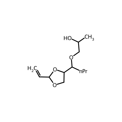 C=CC1OCC(C(CCC)OCC(C)O)O1